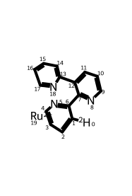 [2H]c1cccnc1-c1ncccc1-c1ccccn1.[Ru+2]